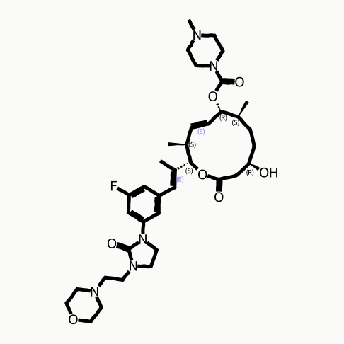 C/C(=C\c1cc(F)cc(N2CCN(CCN3CCOCC3)C2=O)c1)[C@H]1OC(=O)C[C@H](O)CC[C@H](C)[C@@H](OC(=O)N2CCN(C)CC2)/C=C/[C@@H]1C